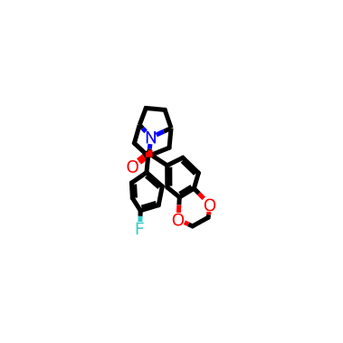 O=C(c1ccc2c(c1)OCCO2)N1C2CCC1CC(c1ccc(F)cc1)C2